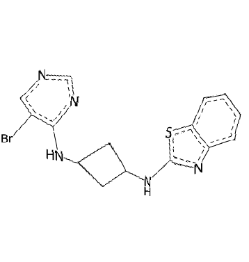 Brc1cncnc1NC1CC(Nc2nc3ccccc3s2)C1